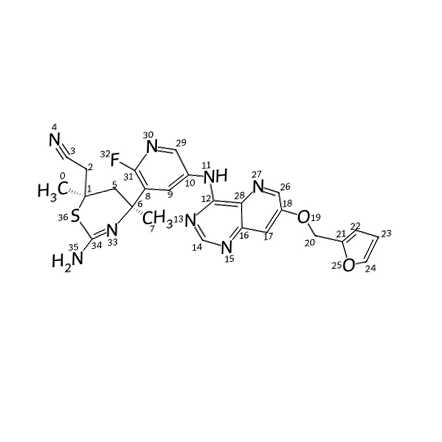 C[C@]1(CC#N)C[C@@](C)(c2cc(Nc3ncnc4cc(OCc5ccco5)cnc34)cnc2F)N=C(N)S1